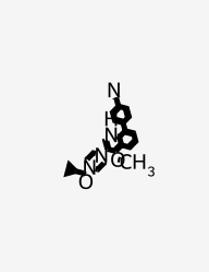 COC1=C2C=CC=C(c3ccc(C#N)cc3)C2NC=C1N1CCN(C(=O)C2CC2)CC1